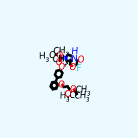 CC(C)(C)OC(=O)CCOc1ccccc1C1CCC(OC[C@@H]2N(C(=O)OC(C)(C)C)CC[C@@]23COC(F)C(=O)N3)CC1